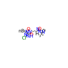 CCCCn1c(=O)n(CCCCc2noc(-c3cccn3C)n2)c(=O)c2[nH]c(Cl)nc21